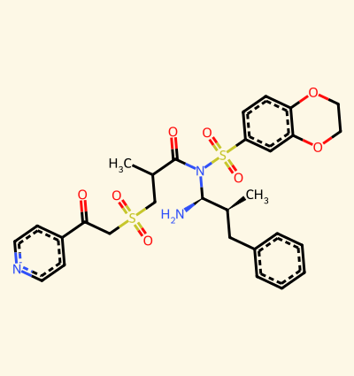 CC(CS(=O)(=O)CC(=O)c1ccncc1)C(=O)N([C@H](N)[C@@H](C)Cc1ccccc1)S(=O)(=O)c1ccc2c(c1)OCCO2